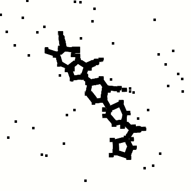 CN(C[C@@H]1CN(c2ccc(N3CCN(C(=O)n4ccnc4)CC3)c(F)c2)C(=O)O1)C(=O)S